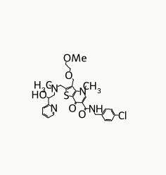 COCCOCc1c(CN(C)CC(O)c2ccccn2)sc2c(=O)c(C(=O)NCc3ccc(Cl)cc3)cn(C)c12